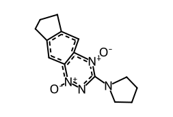 [O-][n+]1nc(N2CCCC2)[n+]([O-])c2cc3c(cc21)CCC3